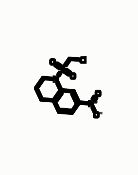 O=[N+]([O-])c1ccc2c(c1)N(S(=O)(=O)CCl)CCC2